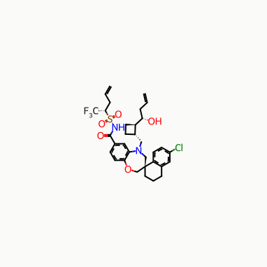 C=CC[C@H](O)[C@@H]1CC[C@H]1CN1C[C@@]2(CCCc3cc(Cl)ccc32)COc2ccc(C(=O)NS(=O)(=O)[C@@H](CC=C)C(F)(F)F)cc21